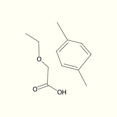 CCOCC(=O)O.Cc1ccc(C)cc1